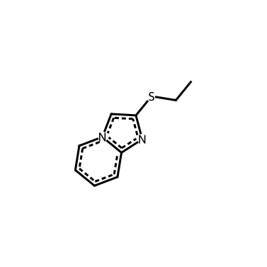 CCSc1cn2ccccc2n1